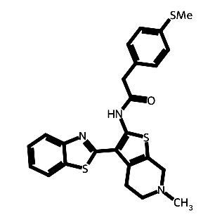 CSc1ccc(CC(=O)Nc2sc3c(c2-c2nc4ccccc4s2)CCN(C)C3)cc1